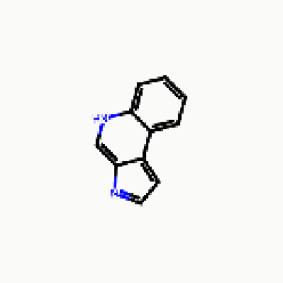 c1ccc2c3ccnc-3c[nH]c2c1